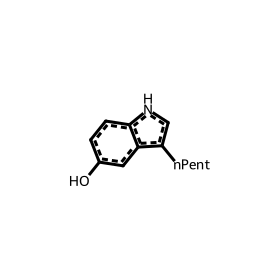 CCCCCc1c[nH]c2ccc(O)cc12